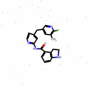 Cc1cc(Cc2ccnc(NC(=O)c3cccc4c3CCN4)c2)cnc1F